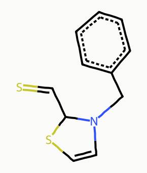 S=CC1SC=CN1Cc1ccccc1